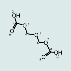 O=C(O)OCOCOC(=O)O